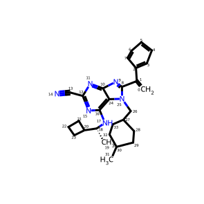 C=C(c1ccccc1)c1nc2nc(C#N)nc(N[C@H](C)C3CCC3)c2n1CC1CCC(C)CC1